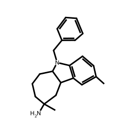 Cc1ccc2c(c1)C1CC(C)(N)CCCC1N2Cc1ccccc1